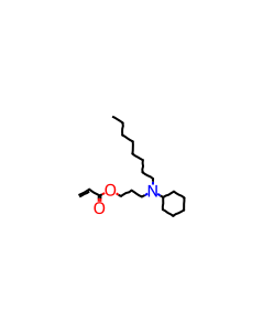 C=CC(=O)OCCCN(CCCCCCCC)C1CCCCC1